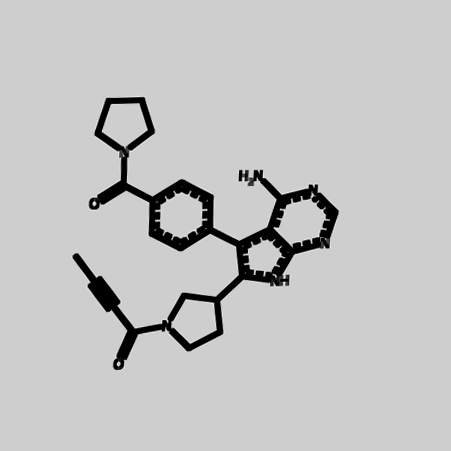 CC#CC(=O)N1CCC(c2[nH]c3ncnc(N)c3c2-c2ccc(C(=O)N3CCCC3)cc2)C1